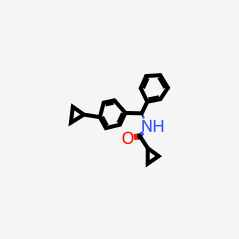 O=C(N[C@@H](c1ccccc1)c1ccc(C2CC2)cc1)C1CC1